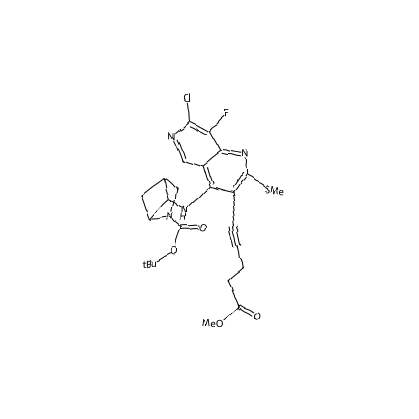 COC(=O)CCC#Cc1c(SC)nc2c(F)c(Cl)ncc2c1NC1C2CC1N(C(=O)OC(C)(C)C)C2